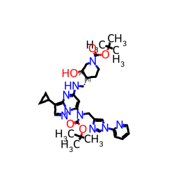 CC(C)(C)OC(=O)N1CC[C@H](CNc2cc(N(Cc3cn(-c4ccccn4)cn3)C(=O)OC(C)(C)C)n3ncc(C4CC4)c3n2)[C@@H](O)C1